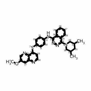 COc1cnc2c(Sc3ccc(Nc4nnc(N5CC(C)CC(C)C5)c5ccccc45)cc3)ccnc2c1